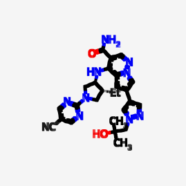 CC[C@@H]1CN(c2ncc(C#N)cn2)C[C@H]1Nc1c(C(N)=O)cnn2cc(-c3cnn(CC(C)(C)O)c3)cc12